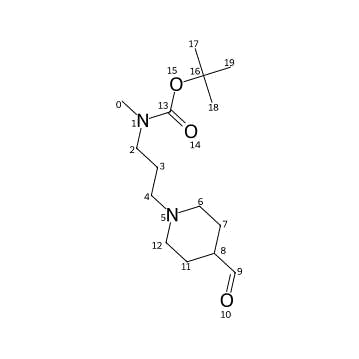 CN(CCCN1CCC(C=O)CC1)C(=O)OC(C)(C)C